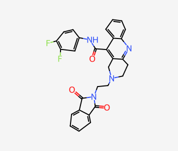 O=C(Nc1ccc(F)c(F)c1)c1c2c(nc3ccccc13)CCN(CCN1C(=O)c3ccccc3C1=O)C2